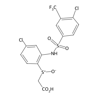 O=C(O)C[S+]([O-])c1ccc(Cl)cc1NS(=O)(=O)c1ccc(Cl)c(C(F)(F)F)c1